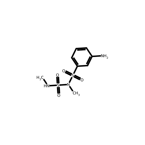 CNS(=O)(=O)N(C)S(=O)(=O)c1cccc(N)c1